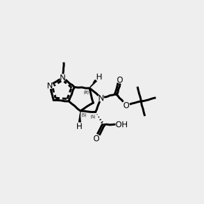 Cn1ncc2c1[C@H]1C[C@@H]2[C@@H](C(=O)O)N1C(=O)OC(C)(C)C